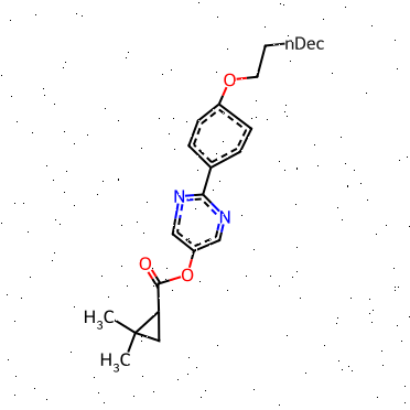 CCCCCCCCCCCCOc1ccc(-c2ncc(OC(=O)C3CC3(C)C)cn2)cc1